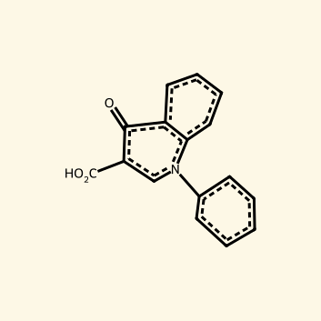 O=C(O)c1cn(-c2ccccc2)c2ccccc2c1=O